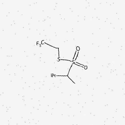 CC(C)C(C)S(=O)(=O)SCC(F)(F)F